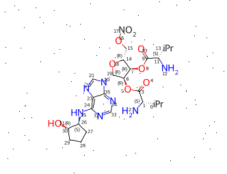 CC(C)[C@H](N)C(=O)O[C@@H]1[C@H](OC(=O)[C@@H](N)C(C)C)[C@@H](CO[N+](=O)[O-])O[C@H]1n1cnc2c(N[C@H]3CCC[C@H]3O)ncnc21